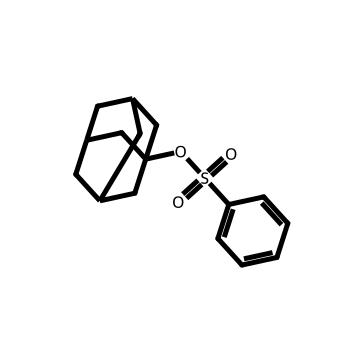 O=S(=O)(OC12CC3CC(CC(C3)C1)C2)c1ccccc1